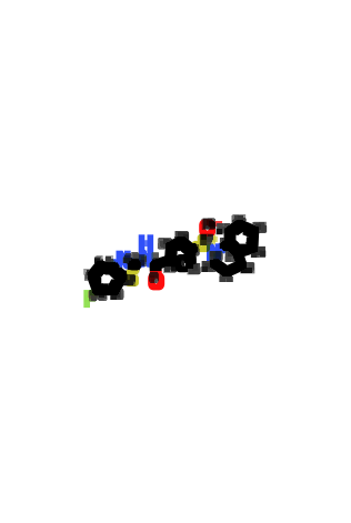 O=C(Nc1nc2ccc(F)cc2s1)c1ccc([S+]([O-])N2CCCc3ccccc32)cc1